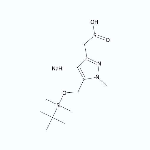 Cn1nc(CS(=O)O)cc1CO[Si](C)(C)C(C)(C)C.[NaH]